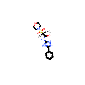 CC(C)(C(=O)Nc1nnc(-c2ccccc2)[nH]1)S(=O)(=O)N1CCOCC1